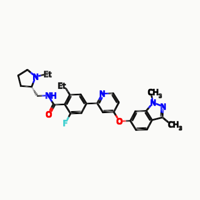 CCc1cc(-c2cc(Oc3ccc4c(C)nn(C)c4c3)ccn2)cc(F)c1C(=O)NC[C@@H]1CCCN1CC